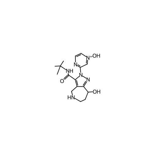 CC(C)(C)NC(=O)c1c2c(nn1-c1c[n+](O)ccn1)C(O)CCNC2